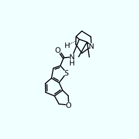 CC1(C)[C@@H](NC(=O)c2cc3ccc4c(c3s2)COC4)C2CCN1CC2